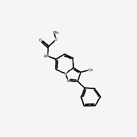 CC(C)(C)OC(=O)Nc1ccc2c(C#N)c(-c3ccccc3)nn2c1